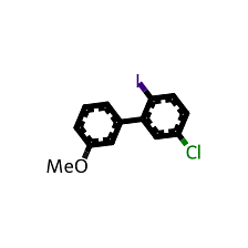 COc1cccc(-c2cc(Cl)ccc2I)c1